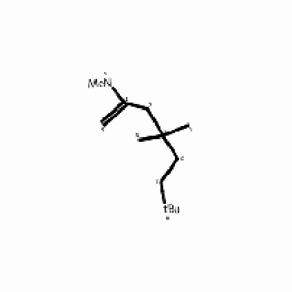 C=C(CC(C)(C)CCC(C)(C)C)NC